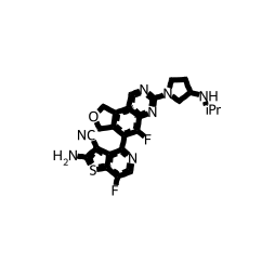 CC(C)NC1CCN(c2ncc3c4c(c(-c5ncc(F)c6sc(N)c(C#N)c56)c(F)c3n2)COC4)C1